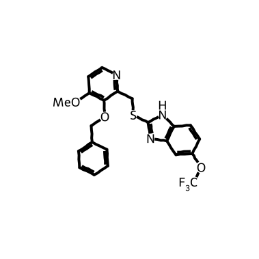 COc1ccnc(CSc2nc3cc(OC(F)(F)F)ccc3[nH]2)c1OCc1ccccc1